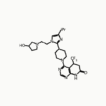 CC(C)c1cn(CCN2CCC(O)C2)c(C2CCN(c3ncnc4c3C(C(F)(F)F)CC(=O)N4)CC2)n1